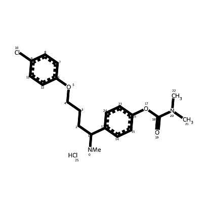 CNC(CCCOc1ccc(Cl)cc1)c1ccc(OC(=O)N(C)C)cc1.Cl